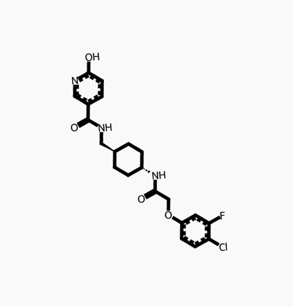 O=C(COc1ccc(Cl)c(F)c1)N[C@H]1CC[C@H](CNC(=O)c2ccc(O)nc2)CC1